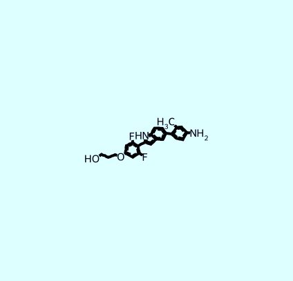 Cc1cc(N)ccc1-c1ccc2[nH]c(-c3c(F)cc(OCCCO)cc3F)cc2c1